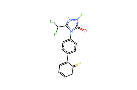 O=c1n(F)nc(C(Cl)Cl)n1-c1ccc(C2=CC=CCC2=S)cc1